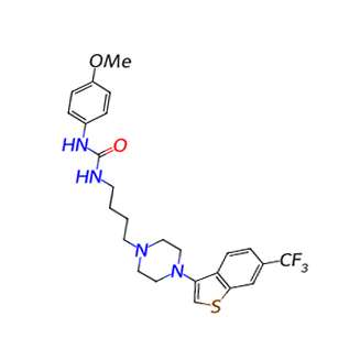 COc1ccc(NC(=O)NCCCCN2CCN(c3csc4cc(C(F)(F)F)ccc34)CC2)cc1